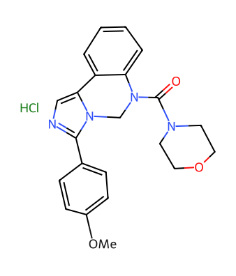 COc1ccc(-c2ncc3n2CN(C(=O)N2CCOCC2)c2ccccc2-3)cc1.Cl